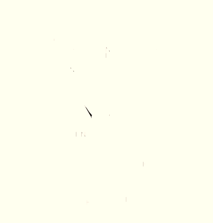 O=C(Nc1cc(F)c(F)c(F)c1)[C@H]1CCN(C(=O)c2ccc(C3CC3)[nH]2)C1